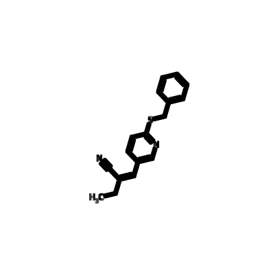 CCC(C#N)=Cc1ccc(SCc2ccccc2)nc1